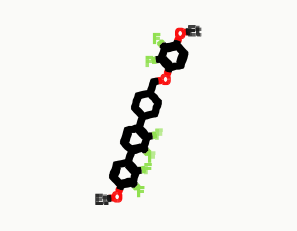 CCOc1ccc(OCC2CCC(c3ccc(-c4ccc(OCC)c(F)c4F)c(F)c3F)CC2)c(F)c1F